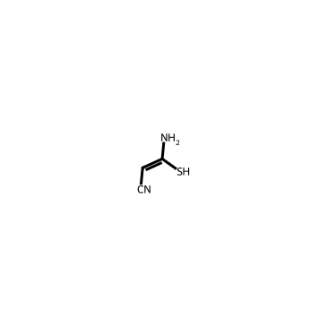 N#CC=C(N)S